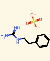 N=C(N)NCCc1ccccc1.O=S(=O)(O)O